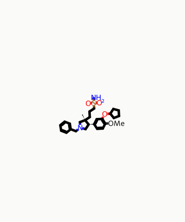 COc1ccc([C@@H]2CN(Cc3ccccc3)C[C@@]2(C)CCCS(N)(=O)=O)cc1OC1CCCC1